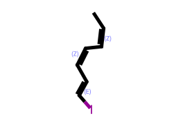 C\C=C/C=C\C=C\I